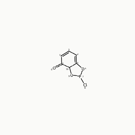 O=C1C=CC=C2OP(Cl)OC12